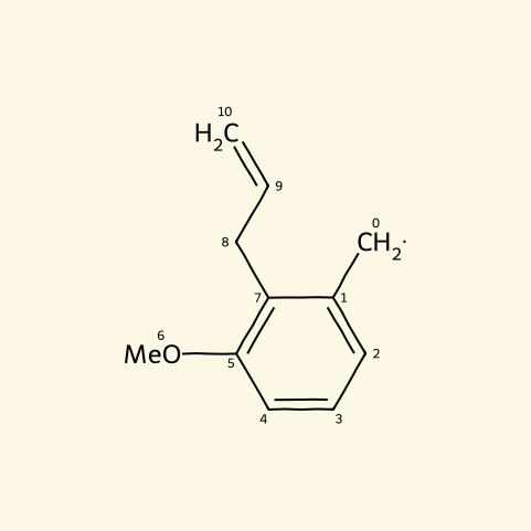 [CH2]c1cccc(OC)c1CC=C